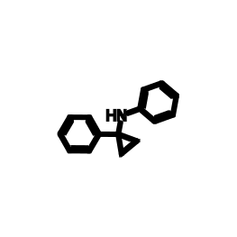 c1ccc(NC2(c3ccccc3)CC2)cc1